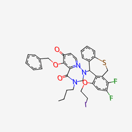 CCCCN1CN(C2c3ccccc3SCc3c(F)c(F)cc(OCCI)c32)n2ccc(=O)c(OCc3ccccc3)c2C1=O